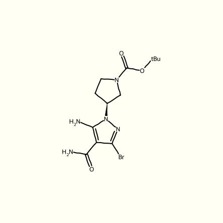 CC(C)(C)OC(=O)N1CC[C@H](n2nc(Br)c(C(N)=O)c2N)C1